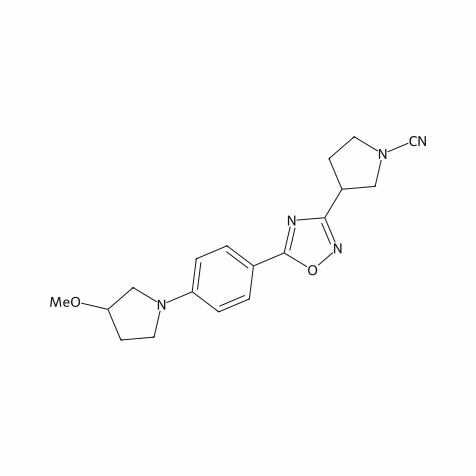 COC1CCN(c2ccc(-c3nc(C4CCN(C#N)C4)no3)cc2)C1